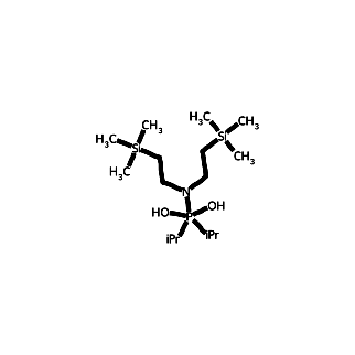 CC(C)P(O)(O)(C(C)C)N(CC[Si](C)(C)C)CC[Si](C)(C)C